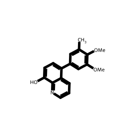 COc1cc(-c2ccc(O)c3ncccc23)cc(C)c1OC